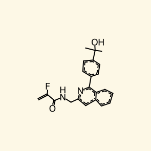 C=C(F)C(=O)NCc1cc2ccccc2c(-c2ccc(C(C)(C)O)cc2)n1